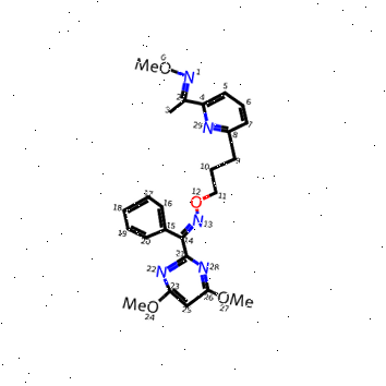 CO/N=C(\C)c1cccc(CCCO/N=C(\c2ccccc2)c2nc(OC)cc(OC)n2)n1